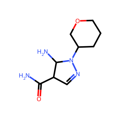 NC(=O)C1C=NN(C2CCCOC2)C1N